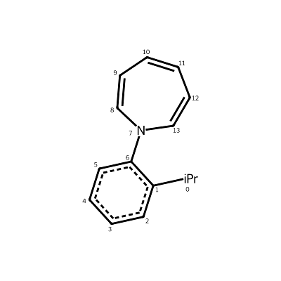 CC(C)c1ccccc1N1C=CC=CC=C1